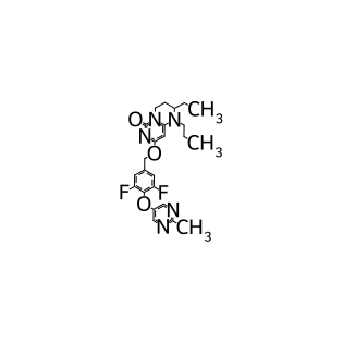 CCCN1c2cc(OCc3cc(F)c(Oc4cnc(C)nc4)c(F)c3)nc(=O)n2CCC1CC